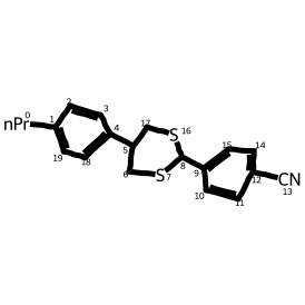 CCCc1ccc(C2CSC(c3ccc(C#N)cc3)SC2)cc1